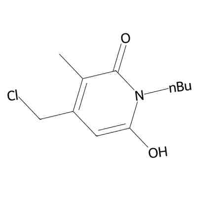 CCCCn1c(O)cc(CCl)c(C)c1=O